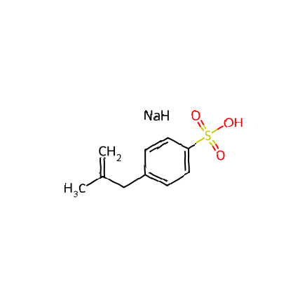 C=C(C)Cc1ccc(S(=O)(=O)O)cc1.[NaH]